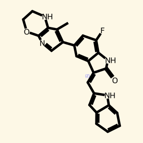 Cc1c(-c2cc(F)c3c(c2)/C(=C/c2cc4ccccc4[nH]2)C(=O)N3)cnc2c1NCCO2